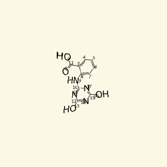 O=C(O)c1ccccc1Nc1nc(O)nc(O)n1